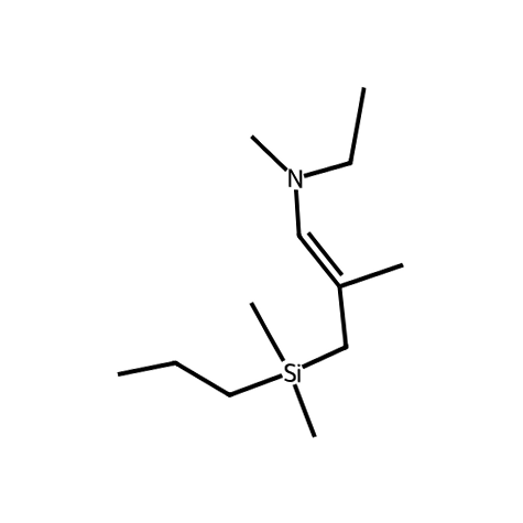 CCC[Si](C)(C)CC(C)=CN(C)CC